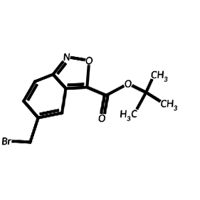 CC(C)(C)OC(=O)c1onc2ccc(CBr)cc12